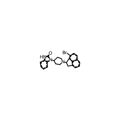 O=c1[nH]c2ccccc2n1C1CCN(C2Cc3cccc4ccc(Br)c2c34)CC1